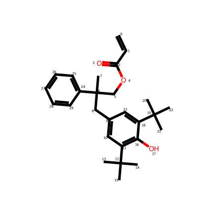 C=CC(=O)OCC(C)(Cc1cc(C(C)(C)C)c(O)c(C(C)(C)C)c1)c1ccccc1